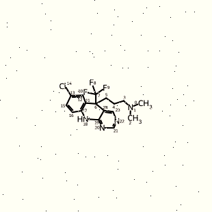 CN(C)CCCC1(C(F)(F)F)c2cc(Cl)ccc2Nc2ncncc21